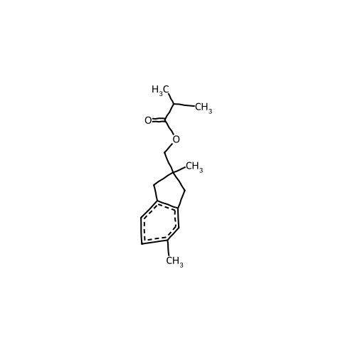 Cc1ccc2c(c1)CC(C)(COC(=O)C(C)C)C2